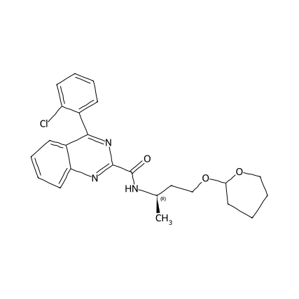 C[C@H](CCOC1CCCCO1)NC(=O)c1nc(-c2ccccc2Cl)c2ccccc2n1